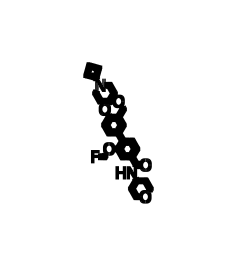 O=C(NC1CCOCC1)c1ccc(-c2ccc3c(c2)COC2(CCN(C4CCC4)CC2)O3)c(OCF)c1